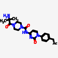 CC(=O)Cc1ccc(-n2ccc(NC(=O)N3CCN(C(=O)C(C)(C)N)CC3)nc2=O)cc1